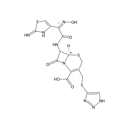 N=c1[nH]c(/C(=N/O)C(=O)NC2C(=O)N3C(C(=O)O)=C(CSc4c[nH]nn4)CS[C@H]23)cs1